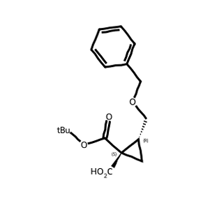 CC(C)(C)OC(=O)[C@@]1(C(=O)O)C[C@H]1COCc1ccccc1